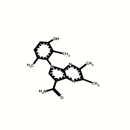 Cc1ccc(O)c(C)c1-n1cc(C(N)=O)c2nc(C)c(C)nc21